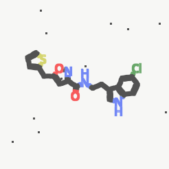 O=C(NCCc1c[nH]c2ccc(Cl)cc12)c1cc(Cc2cccs2)on1